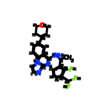 CC(Nc1nc2nccn2c2ccc(C3=CCOCC3)cc12)c1cccc(C(F)F)c1F